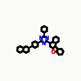 c1ccc(-c2nc(-c3ccc(-c4ccc5ccccc5c4)cc3)nc(-c3cc4oc5ccccc5c4c4ccccc34)n2)cc1